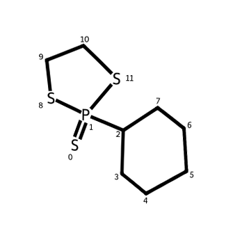 S=P1(C2CCCCC2)SCCS1